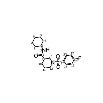 O=C(NC1CCCCC1)C1CCCN(S(=O)(=O)c2ccc(F)cc2)C1